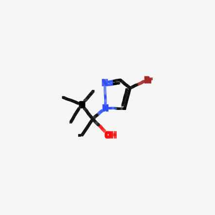 [CH2]C(O)(n1cc(Br)cn1)[Si](C)(C)C